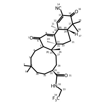 CC1(C)CCC2C(=O)C=C3[C@@]4(C)C=C(C#N)C(=O)C(C)(C)[C@@H]4CC[C@@]3(C)[C@]2(C)CC[C@@H](C(=O)NCC(F)(F)F)CC1